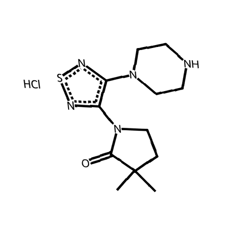 CC1(C)CCN(c2nsnc2N2CCNCC2)C1=O.Cl